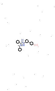 Bc1ccc(-c2cccc(C(I)NC(NC(C)c3ccccc3)c3ccccc3)c2)cc1